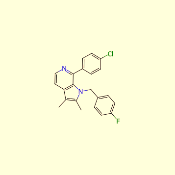 Cc1c(C)n(Cc2ccc(F)cc2)c2c(-c3ccc(Cl)cc3)nccc12